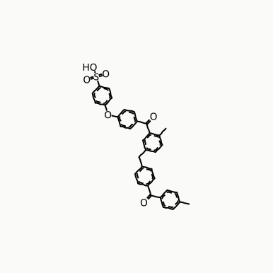 Cc1ccc(C(=O)c2ccc(Cc3ccc(C)c(C(=O)c4ccc(Oc5ccc(S(=O)(=O)O)cc5)cc4)c3)cc2)cc1